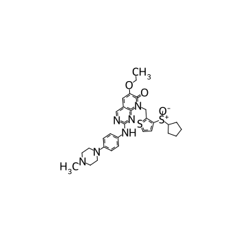 CCOc1cc2cnc(Nc3ccc(N4CCN(C)CC4)cc3)nc2n(Cc2sccc2[S+]([O-])C2CCCC2)c1=O